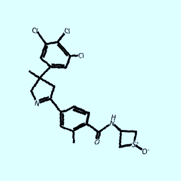 Cc1cc(C2=NCC(C)(c3cc(Cl)c(Cl)c(Cl)c3)C2)ccc1C(=O)NC1C[S+]([O-])C1